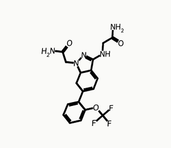 NC(=O)CNC1=NN(CC(N)=O)C2CC(c3ccccc3OC(F)(F)F)=CC=C12